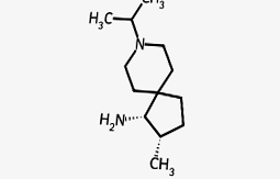 CC(C)N1CCC2(CC[C@H](C)[C@@H]2N)CC1